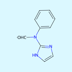 O=[C]N(c1ccccc1)c1ncc[nH]1